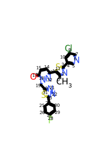 Cc1nc(-c2cncc(Cl)c2)sc1-c1ccc(=O)n(Cc2nnc(-c3ccc(F)cc3)s2)n1